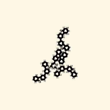 c1ccc2c(c1)-c1ccccc1C21c2cc(-c3cc(-n4c5ccccc5c5cc(-c6ccc7sc8ccccc8c7c6)ccc54)nc(-n4c5ccccc5c5cc(-c6ccc7sc8ccccc8c7c6)ccc54)n3)ccc2-c2ccc(-n3c4ccccc4c4cc(-c5ccc6sc7ccccc7c6c5)ccc43)cc21